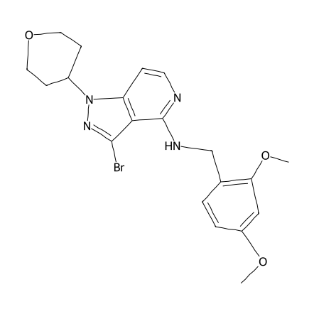 COc1ccc(CNc2nccc3c2c(Br)nn3C2CCOCC2)c(OC)c1